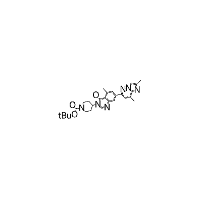 Cc1cn2nc(-c3cc(C)c4c(=O)n(C5CCN(C(=O)OC(C)(C)C)CC5)cnc4c3)cc(C)c2n1